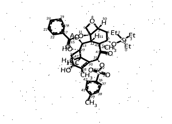 CC[Si](CC)(CC)O[C@H]1C[C@H]2OC[C@@]2(OC(C)=O)[C@H]2[C@H](OC(=O)c3ccccc3)[C@]3(O)C[C@H](O)C(C)=C([C@@H](OS(=O)(=O)c4ccc(C)cc4)C(=O)[C@]12C)C3(C)C